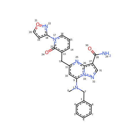 CN(Cc1ccccc1)c1cc(Cc2cccn(-c3ccon3)c2=O)nc2c(C(N)=O)cnn12